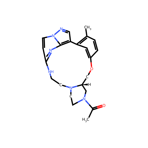 CC(=O)N1CCN2CCNc3ccn4ncc(c4n3)-c3cc(ccc3C)OC[C@@H]2C1